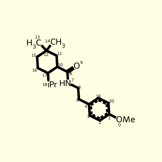 COc1ccc(CCNC(=O)C2CC(C)(C)CCC2C(C)C)cc1